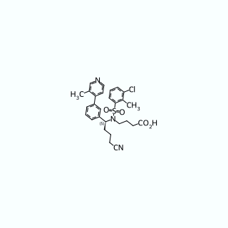 Cc1cnccc1-c1cccc([C@H](CCCC#N)N(CCCC(=O)O)S(=O)(=O)c2cccc(Cl)c2C)c1